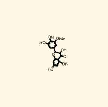 COc1cc(C2Oc3cc(O)cc(O)c3C(=O)C2O)cc(O)c1O